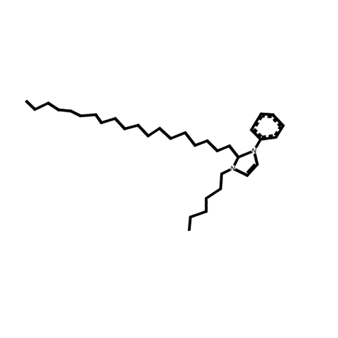 CCCCCCCCCCCCCCCCCCCC1N(CCCCCC)C=CN1c1ccccc1